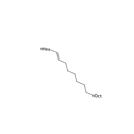 [CH2]CCCCCCCCCCCCCC=CCCCCCC